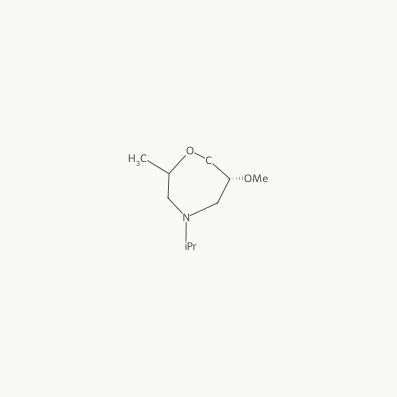 CO[C@H]1COC(C)CN(C(C)C)C1